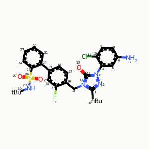 CCCCc1nn(-c2cc(N)ccc2Cl)c(=O)n1Cc1ccc(-c2ccccc2S(=O)(=O)NC(C)(C)C)cc1F